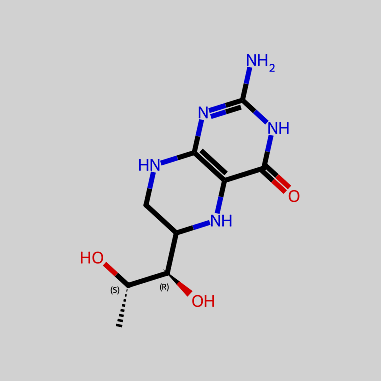 C[C@H](O)[C@H](O)C1CNc2nc(N)[nH]c(=O)c2N1